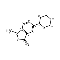 C[S+]1CC(=O)c2cc(C3CCCCC3)ccc21